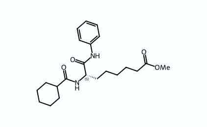 COC(=O)CCCCC[C@H](NC(=O)C1CCCCC1)C(=O)Nc1ccccc1